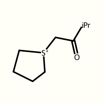 CC(C)C(=O)C[S+]1CCCC1